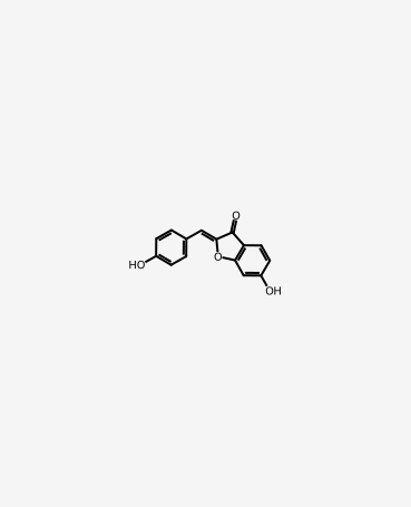 O=C1/C(=C/c2ccc(O)cc2)Oc2cc(O)ccc21